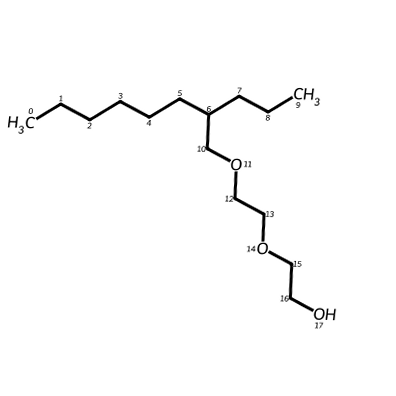 CCCCCCC(CCC)COCCOCCO